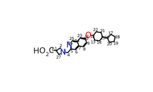 O=C(O)C1CN(Cc2cc3ccc(OC4CCC(C5CCCC5)CC4)cc3cn2)C1